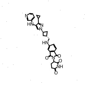 O=C1CCC(N2C(=O)c3ccc(NC[C@H]4C[C@H](n5cc(Nc6cccnc6)c(C6CC6)n5)C4)cc3C2=O)C(=O)N1